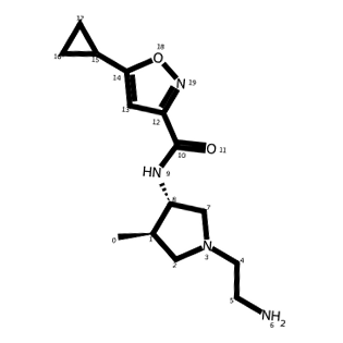 C[C@@H]1CN(CCN)C[C@H]1NC(=O)c1cc(C2CC2)on1